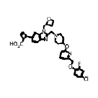 O=C(O)C1C#CC1c1ccc2nc(CN3CCC(Oc4cccc(COc5ccc(Cl)cc5F)n4)CC3)n(C[C@@H]3CCO3)c2c1